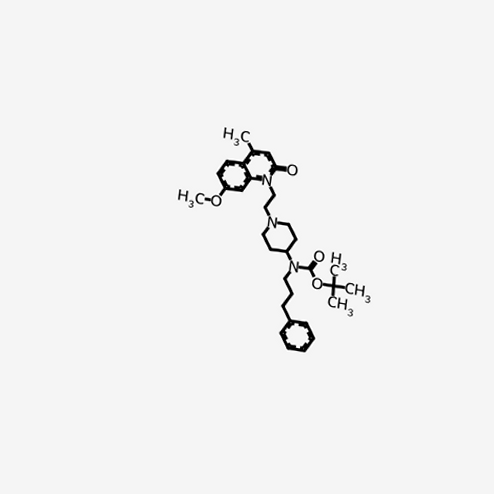 COc1ccc2c(C)cc(=O)n(CCN3CCC(N(CCCc4ccccc4)C(=O)OC(C)(C)C)CC3)c2c1